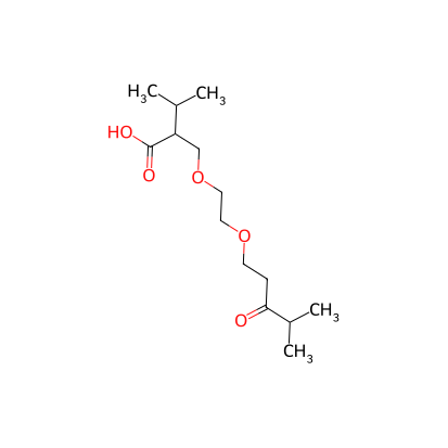 CC(C)C(=O)CCOCCOCC(C(=O)O)C(C)C